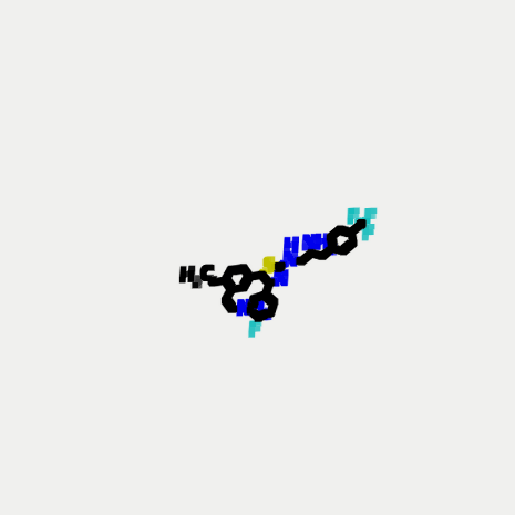 C=Cc1ccc(C2SC(NC[C@@H](N)Cc3ccc(C(F)(F)F)cc3)=NC2c2ccc(F)cc2)cc1/C=C\N